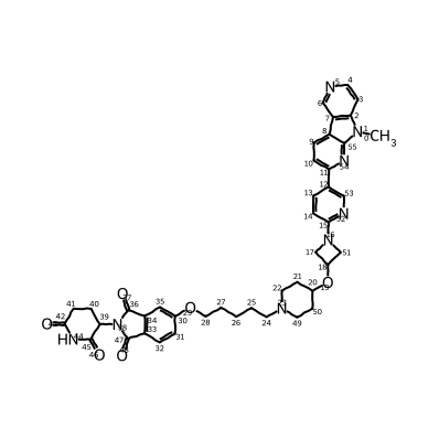 Cn1c2ccncc2c2ccc(-c3ccc(N4CC(OC5CCN(CCCCCOc6ccc7c(c6)C(=O)N(C6CCC(=O)NC6=O)C7=O)CC5)C4)nc3)nc21